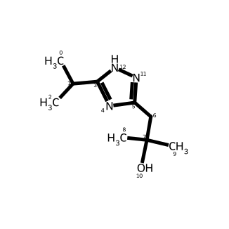 CC(C)c1nc(CC(C)(C)O)n[nH]1